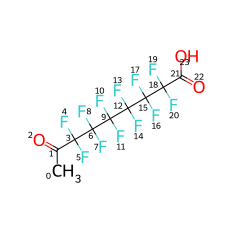 CC(=O)C(F)(F)C(F)(F)C(F)(F)C(F)(F)C(F)(F)C(F)(F)C(=O)O